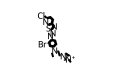 CCN(CCn1cc[n+](C)c1)c1ccc(N=Nc2nc3ccc(Cl)nc3s2)cc1.[Br-]